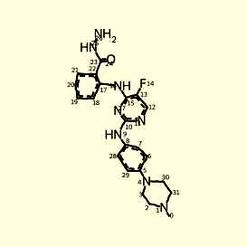 CN1CCN(c2ccc(Nc3ncc(F)c(Nc4ccccc4C(=O)NN)n3)cc2)CC1